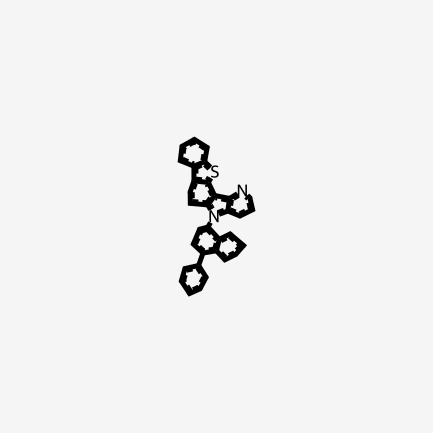 c1ccc(-c2ccc(-n3c4cccnc4c4c5sc6ccccc6c5ccc43)c3ccccc23)cc1